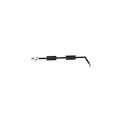 CC#CC#CCF